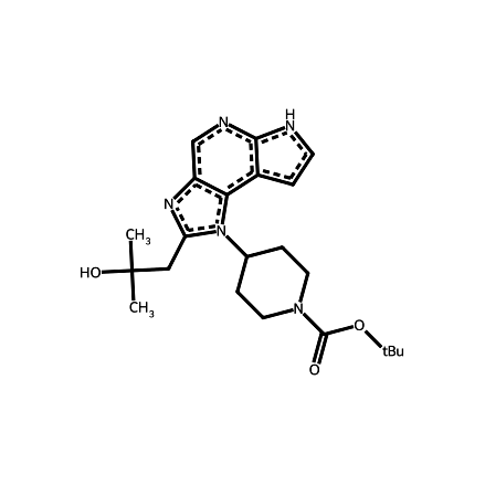 CC(C)(O)Cc1nc2cnc3[nH]ccc3c2n1C1CCN(C(=O)OC(C)(C)C)CC1